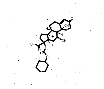 C[C@]12CCC(=O)C=C1CC[C@@H]1[C@H]2C(O)C[C@@]2(C)[C@H]1CCC2(OC(=O)OC1CCCCC1)C(=O)O